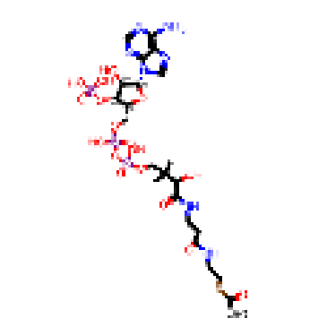 CC(C)(COP(=O)(O)OP(=O)(O)OC[C@H]1O[C@@H](n2cnc3c(N)ncnc32)[C@H](O)[C@@H]1OP(=O)(O)O)C(O)C(=O)NCCC(=O)NCCSC(=O)C=O